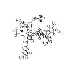 COC1=C(C)C(=O)C2=C(C1=O)[C@H](COC(N)=O)[C@]1(OC)[C@H]3[C@@H](CN21)N3C(=O)CCCN1C(=O)CC(SCC[C@@H](NC(=O)[C@@H](CC(=O)O)NC(=O)[C@@H](CCCCNC(=N)N)NC(=O)CC[C@@H](NC(=O)c2ccc(NCc3cnc4nc(N)[nH]c(=O)c4n3)cc2)C(=O)O)C(=O)O)C1=O